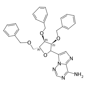 Nc1ncnn2c(C3O[C@H](COCc4ccccc4)[C@@H](OCc4ccccc4)[C@H]3OCc3ccccc3)cnc12